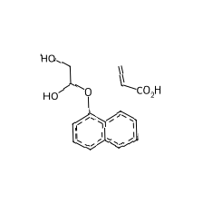 C=CC(=O)O.OCC(O)Oc1cccc2ccccc12